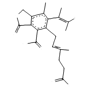 C/C(=C\Cc1c(C(F)=C(F)F)c(C)c2c(c1C(=O)O)C(=O)OC2)CCC(=O)O